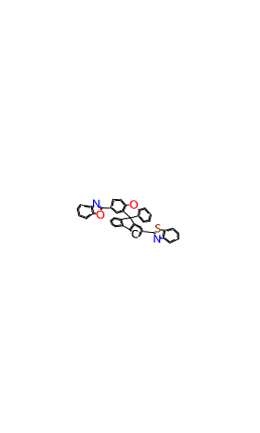 c1ccc2c(c1)Oc1ccc(-c3nc4ccccc4o3)cc1C21c2ccccc2-c2ccc(-c3nc4ccccc4s3)cc21